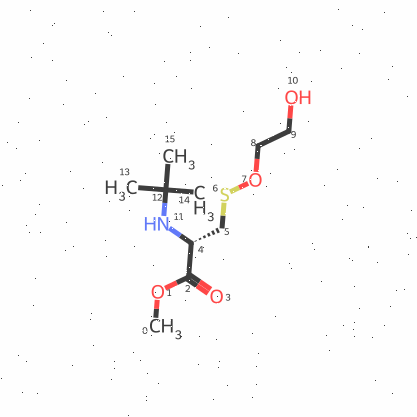 COC(=O)[C@@H](CSOCCO)NC(C)(C)C